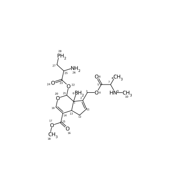 BC12C(COC(=O)C(C)NC)=CCC1C(C(=O)OC)=COC2OC(=O)C(N)CP